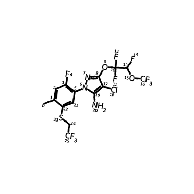 Cc1cc(F)c(-n2nc(OC(F)(F)C(F)OC(F)(F)F)c(Cl)c2N)cc1SCC(F)(F)F